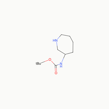 CC(C)(C)OC(=O)NC1CCCCNC1